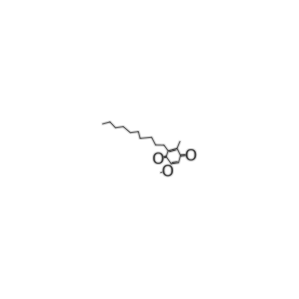 CCCCCCCCCCC1=C(C)C(=O)C=C(OC)C1=O